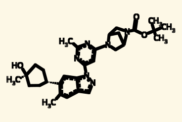 Cc1nc(N2CC3CC2CN3C(=O)OC(C)(C)C)cc(-n2ncc3cc(C)c([C@H]4CC[C@](C)(O)CC4)cc32)n1